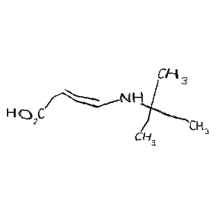 CC(C)(C)NC=CC(=O)O